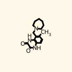 Cc1ccc2[nH]c(=O)c(=O)[nH]c2c1CN1CCCCCC1